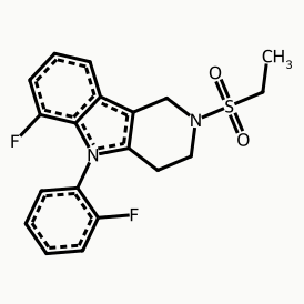 CCS(=O)(=O)N1CCc2c(c3cccc(F)c3n2-c2ccccc2F)C1